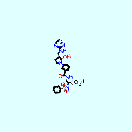 O=C(NC[C@H](NS(=O)(=O)c1ccccc1)C(=O)O)c1cccc(N2CC[C@@H](CNc3ncccn3)[C@@H]2O)c1